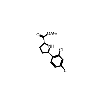 COC(=O)[C@@H]1CC[C@H](c2ccc(Cl)cc2Cl)N1